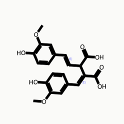 COc1cc(/C=C/C(C(=O)O)/C(=C\c2ccc(O)c(OC)c2)C(=O)O)ccc1O